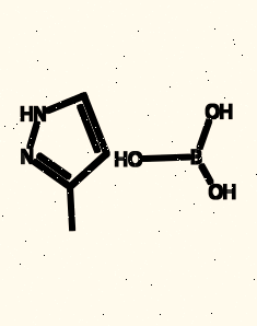 Cc1cc[nH]n1.OB(O)O